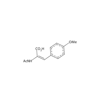 COc1ccc(/C=C(/NC(C)=O)C(=O)O)cc1